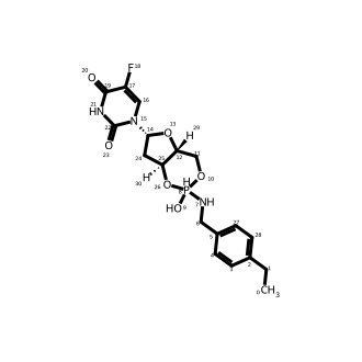 CCc1ccc(CN[PH]2(O)OC[C@H]3O[C@@H](n4cc(F)c(=O)[nH]c4=O)C[C@@H]3O2)cc1